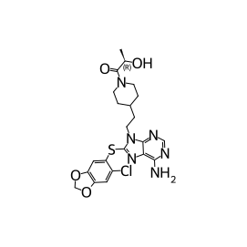 C[C@@H](O)C(=O)N1CCC(CCn2c(Sc3cc4c(cc3Cl)OCO4)nc3c(N)ncnc32)CC1